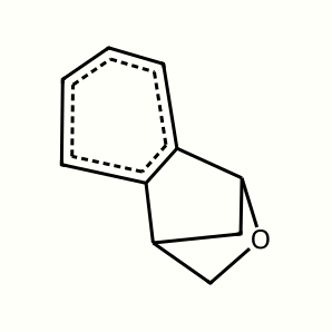 c1ccc2c(c1)C1COC2C1